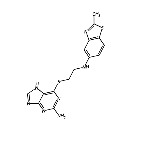 Cc1nc2cc(NCCSc3nc(N)nc4nc[nH]c34)ccc2s1